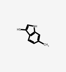 Cc1ccc2c(S)c[nH]c2c1